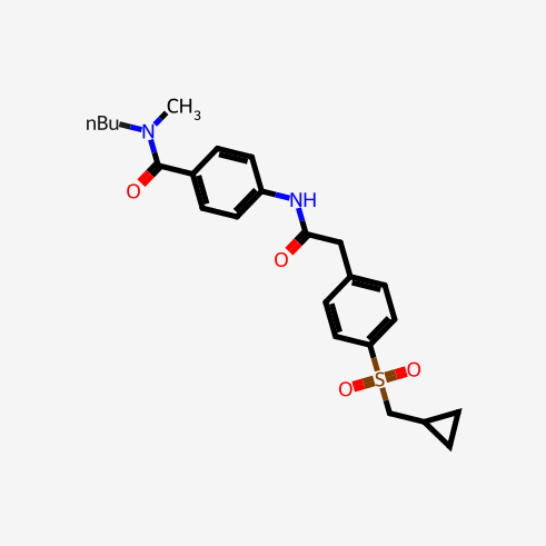 CCCCN(C)C(=O)c1ccc(NC(=O)Cc2ccc(S(=O)(=O)CC3CC3)cc2)cc1